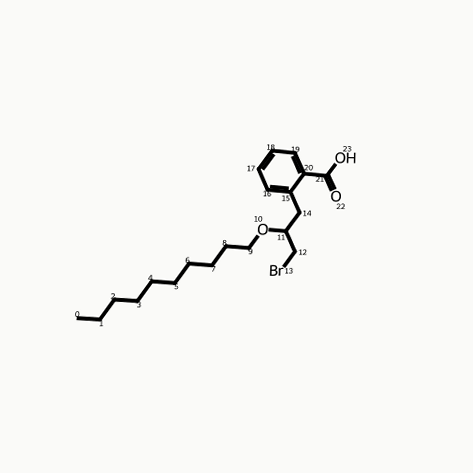 CCCCCCCCCCOC(CBr)Cc1ccccc1C(=O)O